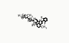 CC(C)[C@]1(c2ccnc(-n3cnc([C@@H](C)CS(C)(=O)=O)n3)n2)CC[C@H](C)c2cc(-c3c(F)cccc3F)nnc21